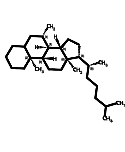 CC(C)CCC[C@@H](C)[C@H]1CC[C@H]2[C@@H]3[C@@H](C)CC4CCCC[C@]4(C)[C@H]3CC[C@]12C